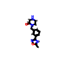 Cc1nc(-c2cccc(CN3CCNCC3=O)c2)no1